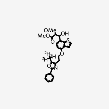 [2H]C([2H])([2H])c1oc(-c2ccccc2)nc1CCOc1ccc(C(O)C(OC)C(=O)OC)c2sccc12